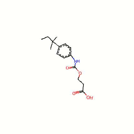 CCC(C)(C)c1ccc(NC(=O)OCCC(=O)O)cc1